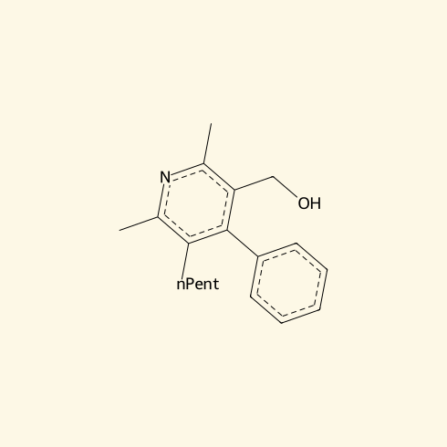 CCCCCc1c(C)nc(C)c(CO)c1-c1ccccc1